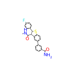 CNC(=O)C1c2cc(-c3cccc(C(N)=O)c3)ccc2SC1c1ccc(F)cc1